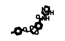 Cc1ccc(OC[C@H]2COc3ccc(C(=O)N[C@@H]4C[C@@H]5CCN(C5)C4)cc3O2)cc1